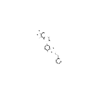 Cc1ccc(NC(=O)C(C)n2ncc(S(C)(=O)=O)c(Cl)c2=O)cc1S(=O)(=O)NCCc1ccccn1